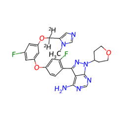 [2H]C([2H])(Oc1cc(F)cc(Oc2ccc(-c3nn(C4CCOCC4)c4ncnc(N)c34)c(F)c2)c1)c1cncn1C